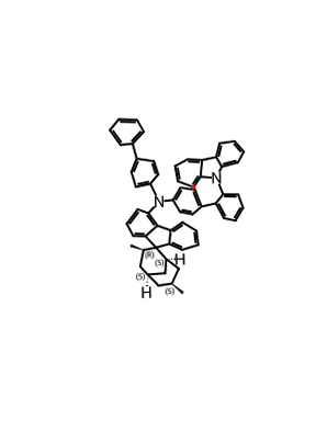 C[C@H]1C[C@@H]2C[C@H](C1)C1(c3ccccc3-c3c(N(c4ccc(-c5ccccc5)cc4)c4ccc(-c5ccccc5-n5c6ccccc6c6ccccc65)cc4)cccc31)[C@H](C)C2